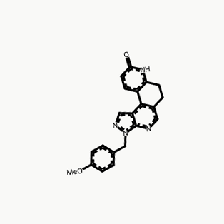 COc1ccc(Cn2ncc3c4c(cnc32)CCc2[nH]c(=O)ccc2-4)cc1